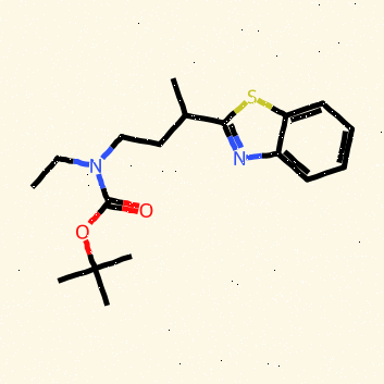 CCN(CCC(C)c1nc2ccccc2s1)C(=O)OC(C)(C)C